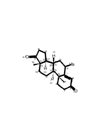 C[C@]12CCC(=O)C=C1C(Br)C[C@@H]1[C@@H]2CC[C@]2(C)C(=O)CC[C@@H]12